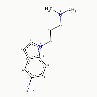 CN(C)CCCn1ccc2cc(N)ccc21